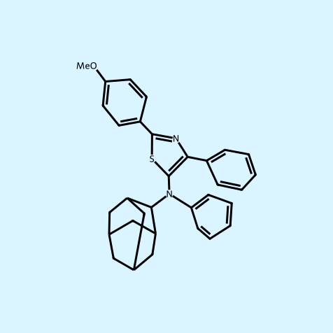 COc1ccc(-c2nc(-c3ccccc3)c(N(c3ccccc3)C3C4CC5CC(C4)CC3C5)s2)cc1